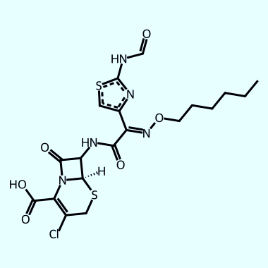 CCCCCCO/N=C(/C(=O)NC1C(=O)N2C(C(=O)O)=C(Cl)CS[C@H]12)c1csc(NC=O)n1